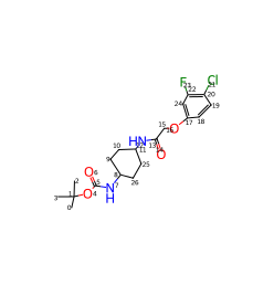 CC(C)(C)OC(=O)NC1CCC(NC(=O)COc2ccc(Cl)c(F)c2)CC1